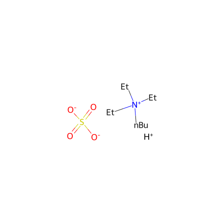 CCCC[N+](CC)(CC)CC.O=S(=O)([O-])[O-].[H+]